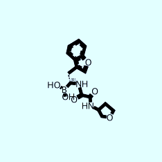 O=C(NC1CCOC1)C(=O)N[C@@H](Cc1coc2ccccc12)B(O)O